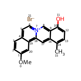 COc1ccc2cc[n+]3cc4c(O)ccc(C)c4cc3c2c1.[Br-]